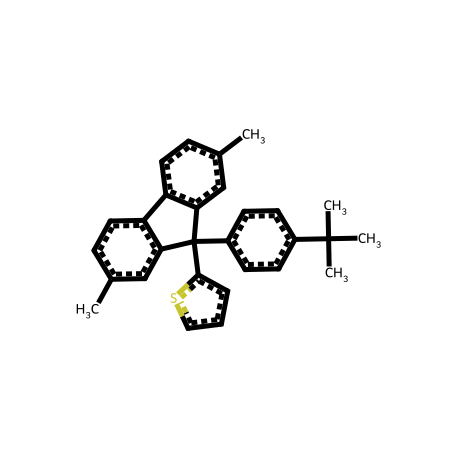 Cc1ccc2c(c1)C(c1ccc(C(C)(C)C)cc1)(c1cccs1)c1cc(C)ccc1-2